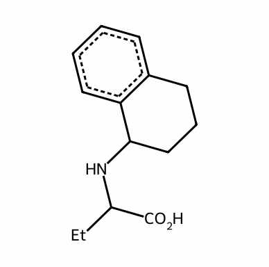 CCC(NC1CCCc2ccccc21)C(=O)O